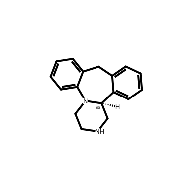 c1ccc2c(c1)Cc1ccccc1N1CCNC[C@H]21